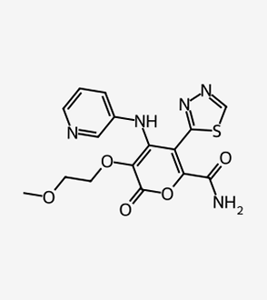 COCCOc1c(Nc2cccnc2)c(-c2nncs2)c(C(N)=O)oc1=O